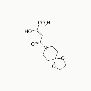 O=C(O)/C(O)=C/C(=O)N1CCC2(CC1)OCCO2